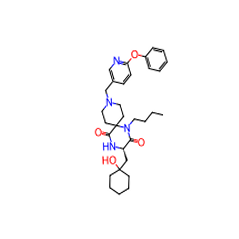 CCCCN1C(=O)[C@@H](CC2(O)CCCCC2)NC(=O)C12CCN(Cc1ccc(Oc3ccccc3)nc1)CC2